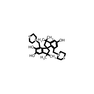 CC1(C)CC2(CC(C)(C)c3cc(O)c(O)c(CN4CCSCC4)c32)c2c(CN3CCSCC3)cc(O)cc21